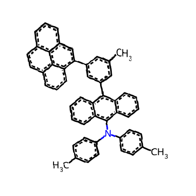 Cc1ccc(N(c2ccc(C)cc2)c2c3ccccc3c(-c3cc(C)cc(-c4cc5cccc6ccc7cccc4c7c65)c3)c3ccccc23)cc1